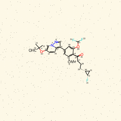 COc1cc(-c2cnn3cc(OC(C)(C)C=O)ccc23)cc(OC(F)F)c1C(=O)CCC[C@@H]1C[C@@H]1F